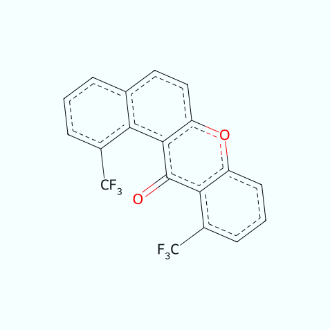 O=c1c2c(C(F)(F)F)cccc2oc2ccc3cccc(C(F)(F)F)c3c12